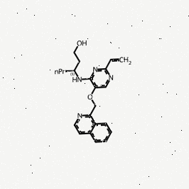 C=Cc1ncc(OCc2nccc3ccccc23)c(N[C@@H](CCC)CCO)n1